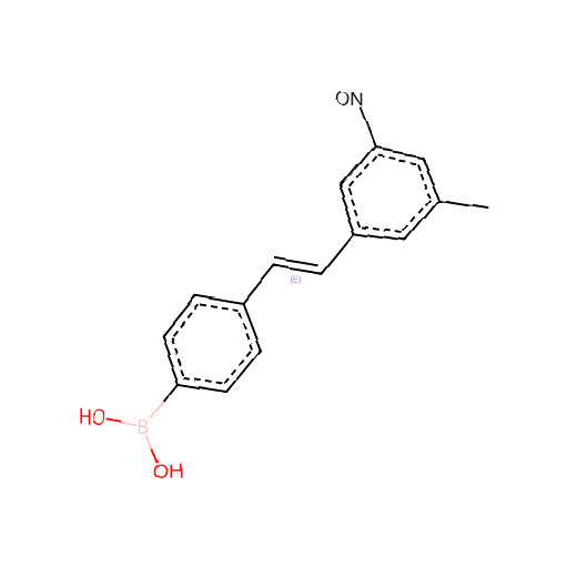 Cc1cc(/C=C/c2ccc(B(O)O)cc2)cc(N=O)c1